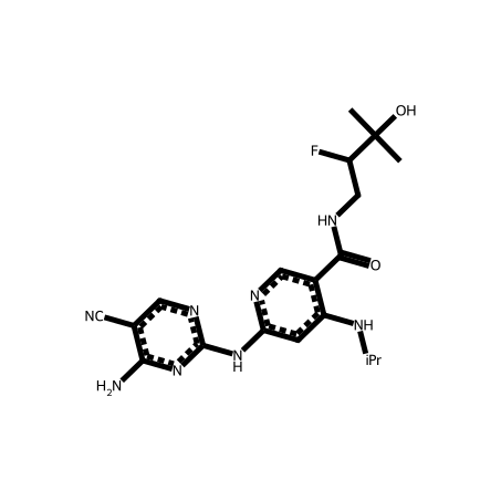 CC(C)Nc1cc(Nc2ncc(C#N)c(N)n2)ncc1C(=O)NCC(F)C(C)(C)O